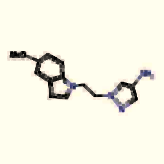 COc1ccc2c(ccn2CCn2cc(N)cn2)c1